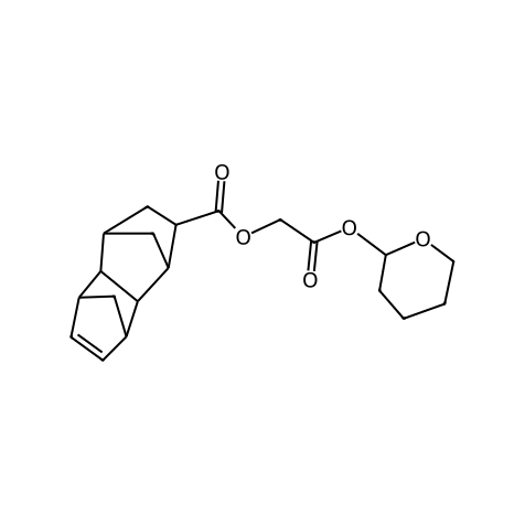 O=C(COC(=O)C1CC2CC1C1C3C=CC(C3)C21)OC1CCCCO1